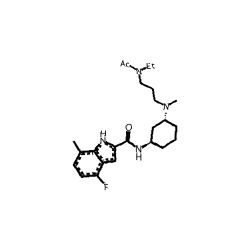 CCN(CCCN(C)[C@@H]1CCC[C@@H](NC(=O)c2cc3c(F)ccc(C)c3[nH]2)C1)C(C)=O